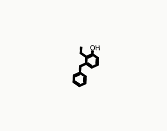 CCc1c(O)cccc1Cc1ccccc1